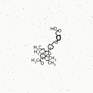 CC(=O)N1CCN([C@@H](CC(C)C)C(=O)N2CCC(COc3cccc(CC(=O)O)c3)CC2)C(=O)[C@@H]1CC(C)C